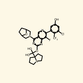 Oc1cc(Cl)c(C(F)(F)F)c(-c2ncc3c(N4CC5CCC(C4)O5)nc(OC(O)(O)C45CCCN4CCC5)nc3c2F)c1